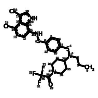 CCCN(Sc1ccc(SNc2ccc(Cl)c3c(Cl)c[nH]c23)cc1)C1CCN(C(=O)C(F)(F)F)CC1